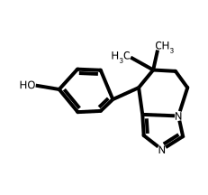 CC1(C)CCn2cncc2C1c1ccc(O)cc1